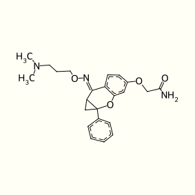 CN(C)CCCON=C1c2ccc(OCC(N)=O)cc2OC2(c3ccccc3)CC12